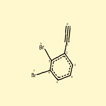 [C]#Cc1cccc(Br)c1Br